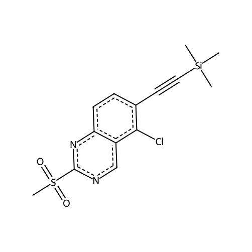 C[Si](C)(C)C#Cc1ccc2nc(S(C)(=O)=O)ncc2c1Cl